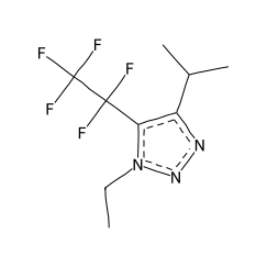 CCn1nnc(C(C)C)c1C(F)(F)C(F)(F)F